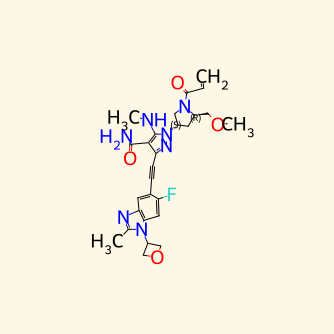 C=CC(=O)N1C[C@@H](n2nc(C#Cc3cc4nc(C)n(C5COC5)c4cc3F)c(C(N)=O)c2NC)C[C@@H]1COC